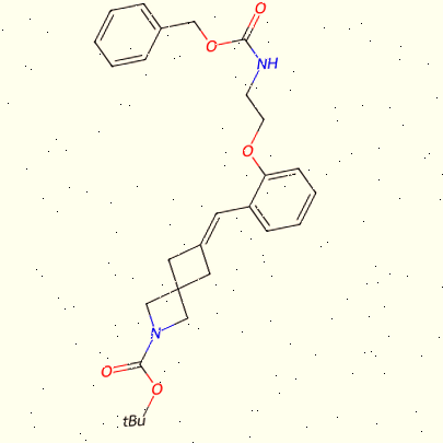 CC(C)(C)OC(=O)N1CC2(CC(=Cc3ccccc3OCCNC(=O)OCc3ccccc3)C2)C1